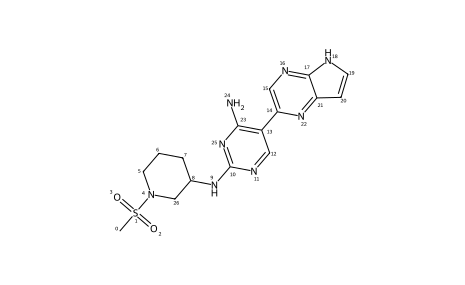 CS(=O)(=O)N1CCCC(Nc2ncc(-c3cnc4[nH]ccc4n3)c(N)n2)C1